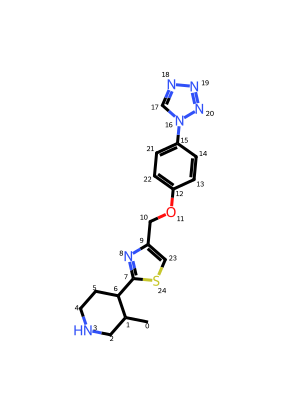 CC1CNCCC1c1nc(COc2ccc(-n3cnnn3)cc2)cs1